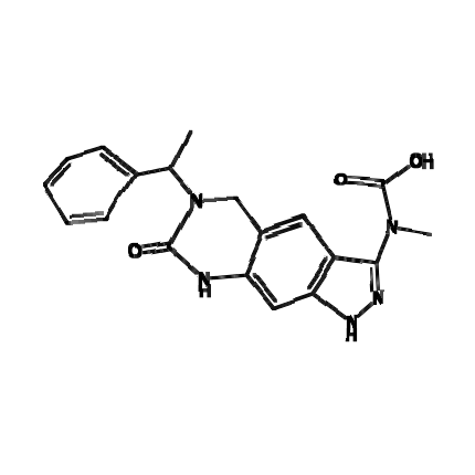 CC(c1ccccc1)N1Cc2cc3c(N(C)C(=O)O)n[nH]c3cc2NC1=O